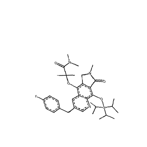 CC(C)[Si](Oc1c2c(c(OC(C)(C)C(=O)N(C)C)c3cc(Cc4ccc(F)cc4)cnc13)CN(C)C2=O)(C(C)C)C(C)C